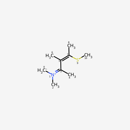 [CH2-]/[N+](C)=C(C)\C(C)=C(\C)SC